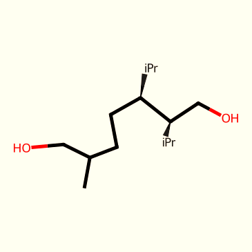 CC(CO)CC[C@@H](C(C)C)[C@@H](CO)C(C)C